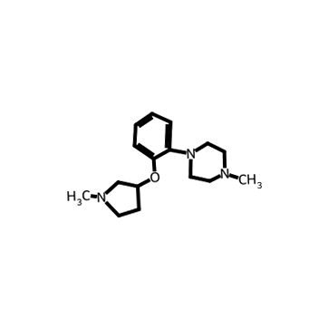 CN1CCN(c2ccccc2OC2CCN(C)C2)CC1